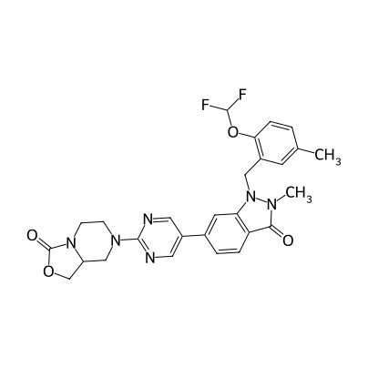 Cc1ccc(OC(F)F)c(Cn2c3cc(-c4cnc(N5CCN6C(=O)OCC6C5)nc4)ccc3c(=O)n2C)c1